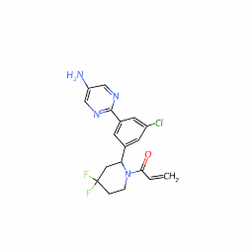 C=CC(=O)N1CCC(F)(F)CC1c1cc(Cl)cc(-c2ncc(N)cn2)c1